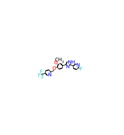 COc1cc(-c2c[nH]c(-c3ccc(F)nc3)n2)ccc1OCc1ccc(C(F)(F)F)cn1